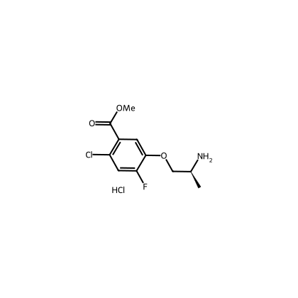 COC(=O)c1cc(OC[C@H](C)N)c(F)cc1Cl.Cl